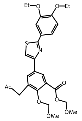 CCOc1ccc(-c2nc(-c3cc(CC(C)=O)c(OCOC)c(C(=O)OCOC)c3)cs2)cc1OCC